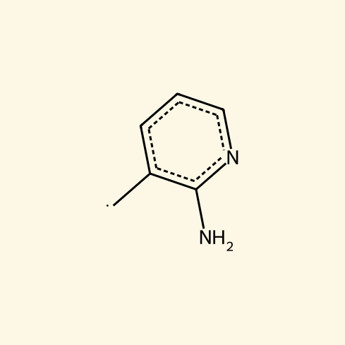 [CH2]c1cccnc1N